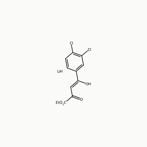 CCOC(=O)C(=O)/C=C(\O)c1ccc(Cl)c(Cl)c1.[LiH]